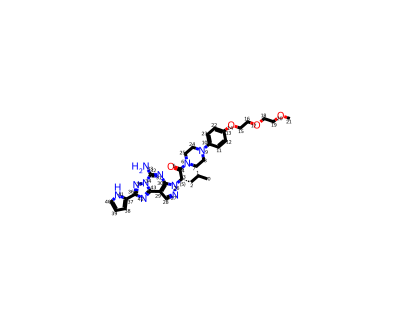 CCC[C@@H](C(=O)N1CCN(c2ccc(OCCOCCOC)cc2)CC1)n1ncc2c1nc(N)n1nc(-c3ccc[nH]3)nc21